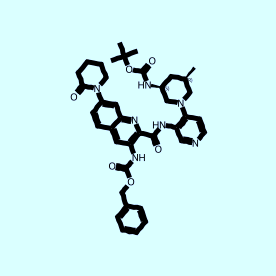 C[C@@H]1C[C@H](NC(=O)OC(C)(C)C)CN(c2ccncc2NC(=O)c2nc3cc(N4CCCCC4=O)ccc3cc2NC(=O)OCc2ccccc2)C1